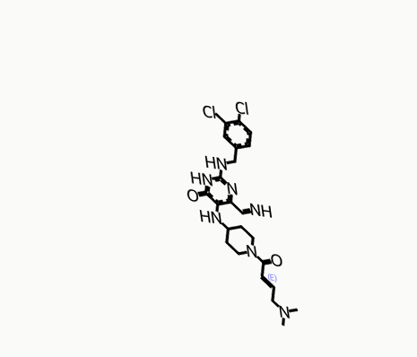 CN(C)C/C=C/C(=O)N1CCC(Nc2c(C=N)nc(NCc3ccc(Cl)c(Cl)c3)[nH]c2=O)CC1